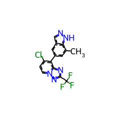 Cc1cc(-c2c(Cl)ccn3nc(C(F)(F)F)nc23)cc2cn[nH]c12